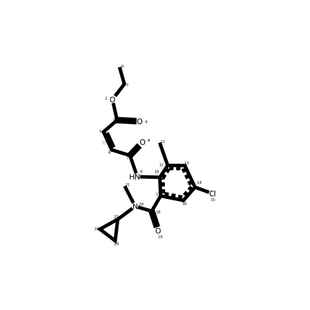 CCOC(=O)/C=C\C(=O)Nc1c(C)cc(Cl)cc1C(=O)N(C)C1CC1